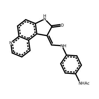 CC(=O)Nc1ccc(NC=C2C(=O)Nc3ccc4ncccc4c32)cc1